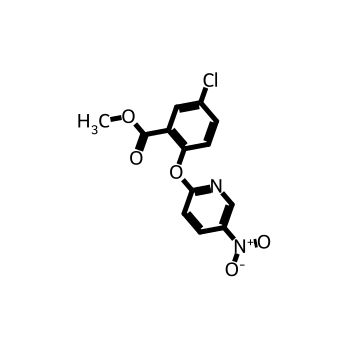 COC(=O)c1cc(Cl)ccc1Oc1ccc([N+](=O)[O-])cn1